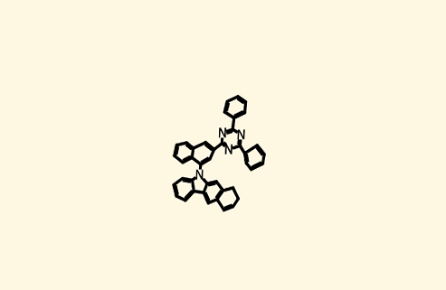 C1=Cc2cc3c4ccccc4n(-c4cc(-c5nc(-c6ccccc6)nc(-c6ccccc6)n5)cc5ccccc45)c3cc2CC1